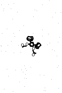 c1c(OCC2CO2)c(C23CC4CC(CC(C4)C2)C3)cc(C23CC4CC(CC(C4)C2)C3)c1OCC1CO1